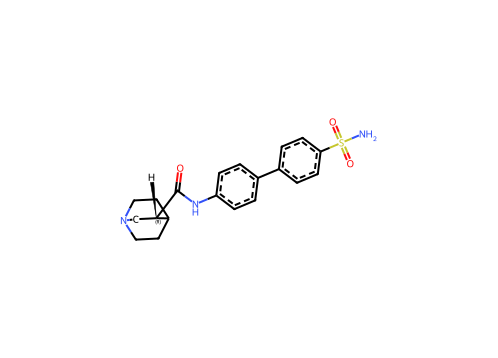 NS(=O)(=O)c1ccc(-c2ccc(NC(=O)[C@H]3CN4CCC3CC4)cc2)cc1